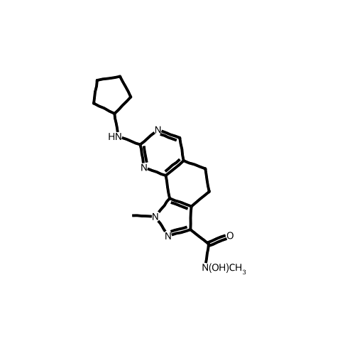 CN(O)C(=O)c1nn(C)c2c1CCc1cnc(NC3CCCC3)nc1-2